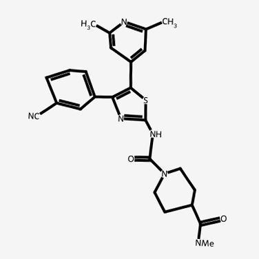 CNC(=O)C1CCN(C(=O)Nc2nc(-c3cccc(C#N)c3)c(-c3cc(C)nc(C)c3)s2)CC1